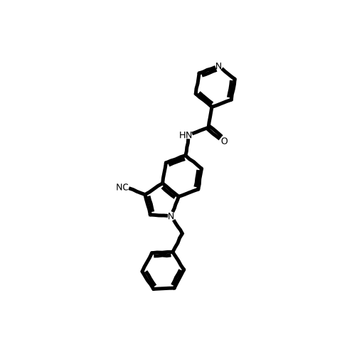 N#Cc1cn(Cc2ccccc2)c2ccc(NC(=O)c3ccncc3)cc12